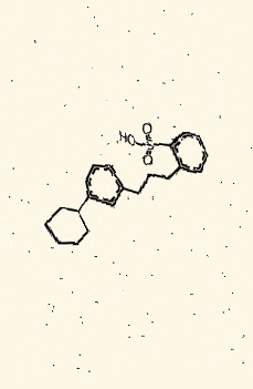 O=S(=O)(O)c1ccccc1CCCc1cccc(C2CCCCC2)c1